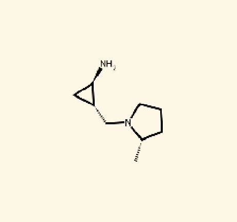 C[C@H]1CCCN1C[C@@H]1C[C@H]1N